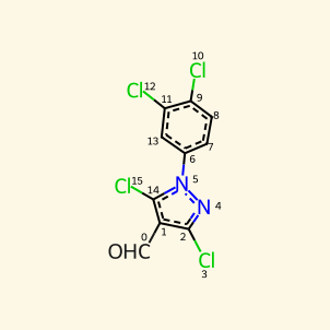 O=Cc1c(Cl)nn(-c2ccc(Cl)c(Cl)c2)c1Cl